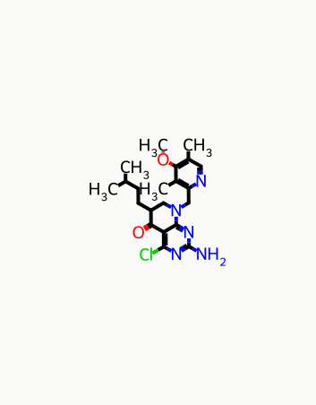 COc1c(C)cnc(CN2CC(CCC(C)C)C(=O)c3c(Cl)nc(N)nc32)c1C